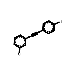 Clc1ccc(C#Cc2cccc(Cl)c2)cc1